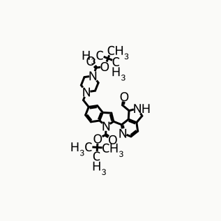 CC(C)(C)OC(=O)N1CCN(Cc2ccc3c(c2)cc(-c2nccc4c2C(C=O)NC4)n3C(=O)OC(C)(C)C)CC1